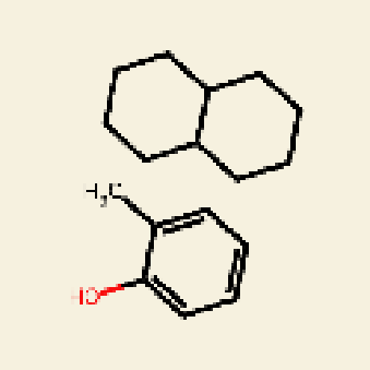 C1CCC2CCCCC2C1.Cc1ccccc1O